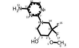 CO[C@@H]1[C@H](O)CN(c2nccc(N)n2)CC1(F)F